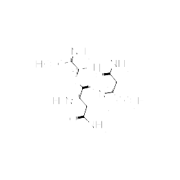 C[C@@H](OC(=O)[C@@H](N)CC(N)=O)[C@H](N)C(=O)O.NC(=O)C[C@H](N)C(=O)O